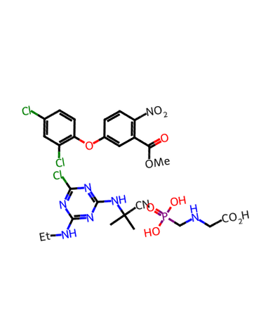 CCNc1nc(Cl)nc(NC(C)(C)C#N)n1.COC(=O)c1cc(Oc2ccc(Cl)cc2Cl)ccc1[N+](=O)[O-].O=C(O)CNCP(=O)(O)O